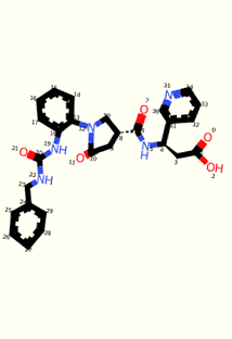 O=C(O)C[C@@H](NC(=O)[C@@H]1CC(=O)N(c2ccccc2NC(=O)NCc2ccccc2)C1)c1cccnc1